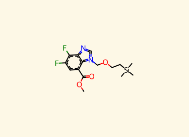 COC(=O)c1cc(F)c(F)c2ncn(COCC[Si](C)(C)C)c12